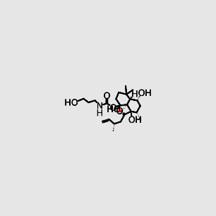 C=C[C@@H](C)CC(=O)[C@@]1(O)[C@@H](C)C[C@@H](O)[C@H]2C(C)(C)CC[C@@](O)(OC(=O)NCCCO)[C@@]21C